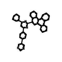 c1ccc(-c2cc(-c3ccc(-c4cncnc4)cc3)nc(-c3cc4c5ccccc5c5ccccc5c4c4ccccc34)n2)cc1